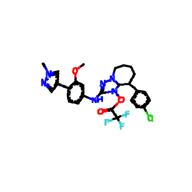 COc1cc(NC2=NN3CCCCC(c4ccc(Cl)cc4)C3N2OC(=O)C(F)(F)F)ccc1-c1cnn(C)c1